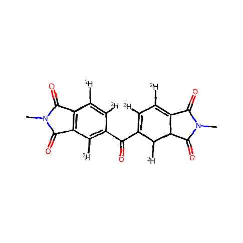 [2H]C1=C(C(=O)c2c([2H])c([2H])c3c(c2[2H])C(=O)N(C)C3=O)C([2H])C2C(=O)N(C)C(=O)C2=C1[2H]